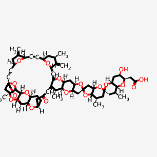 C=C1C[C@@H]2CC[C@@]34C[C@]5(C)O[C@H]6[C@@H](O3)[C@H]3O[C@H](CC[C@@H]3O[C@H]6C5O4)CC(=O)C[C@@H]3[C@@H](C)[C@@H]4O[C@@H]5C[C@]6(C[C@@H]7O[C@]8(C[C@H](C)[C@@H]9O[C@H](CC(=O)O)[C@H](O)C[C@@H]9O8)C[C@H](C)[C@@H]7O6)O[C@@H]5C[C@@H]4O[C@H]3C[C@H]3O[C@@H](CC[C@@H]1O2)C[C@@H](C)C3=C